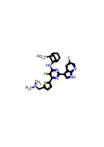 CN(C)Cc1ccc(-c2nc(-c3c[nH]c4ncc(F)cc34)nc(NC3C4CCC(CC4)C3C(=O)O)c2F)s1